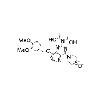 COc1ccc(COc2ncnc3c(N4CC[S+]([O-])CC4)nc(N(C(C)O)C(C)O)nc23)cc1OC